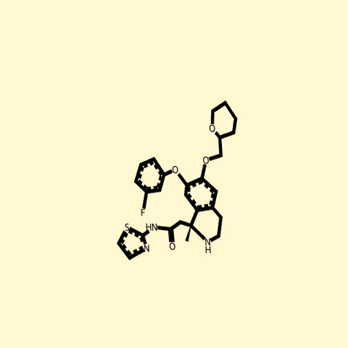 C[C@]1(CC(=O)Nc2nccs2)NCCc2cc(OCC3CCCCO3)c(Oc3cccc(F)c3)cc21